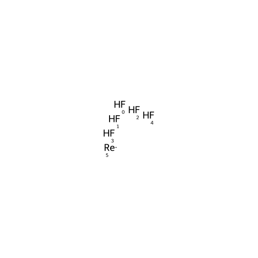 F.F.F.F.F.[Re]